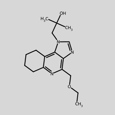 CCOCc1nc2c(c3c1ncn3CC(C)(C)O)CCCC2